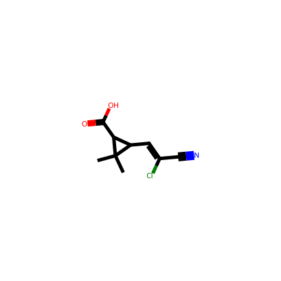 CC1(C)C(/C=C(\Cl)C#N)C1C(=O)O